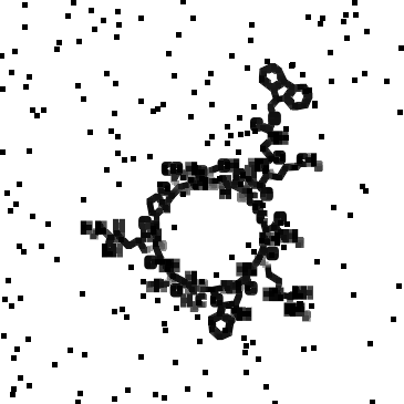 CC=CC[C@H](NC(=O)CNC(=O)OCC1c2ccccc2-c2ccccc21)C(=O)N[C@H]1CCCC(C(N)=O)NC(=O)[C@H](CCCNC(=N)N)NC(=O)[C@H](Cc2cc3ccccc3[nH]2)NC(=O)[C@H](C)NC(=O)[C@H](CCC)NC(=O)[C@H](CCCNC(=N)N)NC(=O)C2CCCN2C(=O)[C@H](CC(=O)O)NC(=O)[C@H](CO)NC1=O